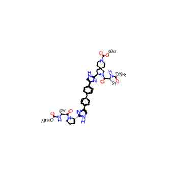 COC(=O)N[C@H](C(=O)N1CC2(CCN(C(=O)OC(C)(C)C)CC2)CC1c1nc(-c2ccc(-c3ccc(-c4c[nH]c([C@@H]5CCCN5C(=O)[C@@H](NC(=O)OC)C(C)C)n4)cc3)cc2)c[nH]1)C(C)C